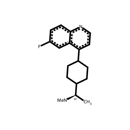 CN[C@H](C)C1CCC(c2ccnc3ccc(F)cc23)CC1